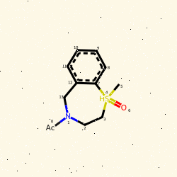 CC(=O)N1CC[SH](C)(=O)c2ccccc2C1